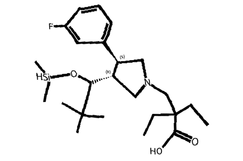 CCC(CC)(CN1C[C@H](c2cccc(F)c2)[C@@H](C(O[SiH](C)C)C(C)(C)C)C1)C(=O)O